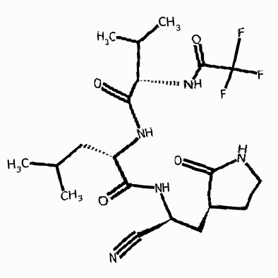 CC(C)C[C@H](NC(=O)[C@@H](NC(=O)C(F)(F)F)C(C)C)C(=O)N[C@H](C#N)C[C@@H]1CCNC1=O